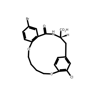 O=C1N[C@H](C(=O)O)Cc2ccc(c(Cl)c2)OCCCCOc2ccc(Br)cc21